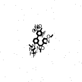 CCOc1ncc(-c2oc(C)nc2-c2cc(-c3cc(F)c(CO)c(S(C)(=O)=O)c3)ccc2-n2cc(C(F)(F)F)nc2C)cc1F